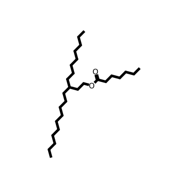 CCCCCCCCCCC(CCCCCCCC)CCOC(=O)CCCCCC